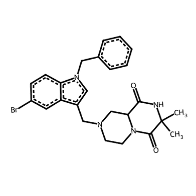 CC1(C)NC(=O)C2CN(Cc3cn(Cc4ccccc4)c4ccc(Br)cc34)CCN2C1=O